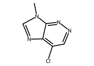 Cn1cnc2c(Cl)cnnc21